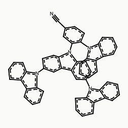 N#Cc1ccc(-n2c3ccccc3c3ccccc32)c(-n2c3ccc(-n4c5ccccc5c5ccccc54)cc3c3cc(-n4c5ccccc5c5ccccc54)ccc32)c1